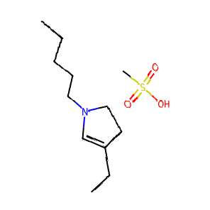 CCCCCN1C=C(CC)CC1.CS(=O)(=O)O